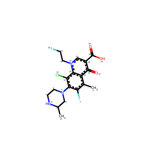 Cc1c(F)c(N2CCNC(C)C2)c(Cl)c2c1c(=O)c(C(=O)O)cn2CCF